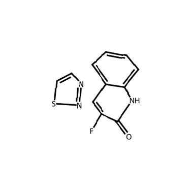 O=c1[nH]c2ccccc2cc1F.c1csnn1